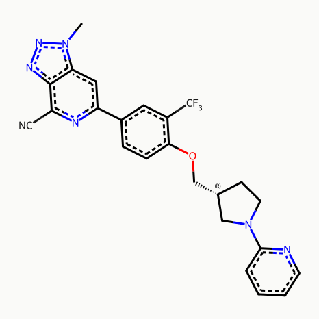 Cn1nnc2c(C#N)nc(-c3ccc(OC[C@@H]4CCN(c5ccccn5)C4)c(C(F)(F)F)c3)cc21